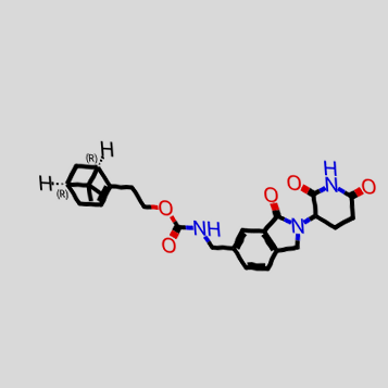 CC1(C)[C@H]2CC=C(CCOC(=O)NCc3ccc4c(c3)C(=O)N(C3CCC(=O)NC3=O)C4)[C@@H]1C2